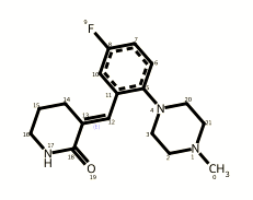 CN1CCN(c2ccc(F)cc2/C=C2\CCCNC2=O)CC1